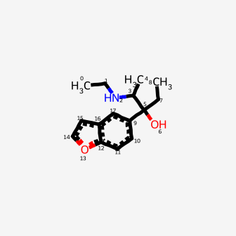 CCNC(C)C(O)(CC)c1ccc2occc2c1